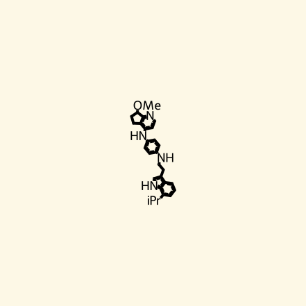 COC1CCc2c(Nc3ccc(NCCc4c[nH]c5c(C(C)C)cccc45)cc3)ccnc21